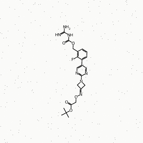 CC(C)(C)OC(=O)CON=C1CN(c2ncc(-c3cccc(COC(=O)NC(=N)N)c3F)cn2)C1